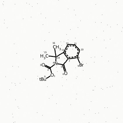 CC(C)(C)OC(=O)N1C(=O)c2c(Br)cccc2C1(C)C